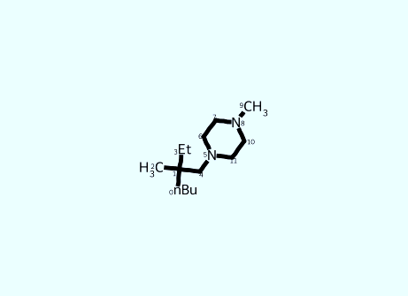 CCCCC(C)(CC)CN1CCN(C)CC1